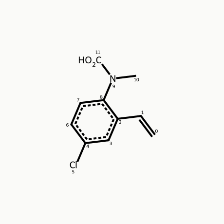 C=Cc1cc(Cl)ccc1N(C)C(=O)O